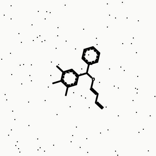 C=CC=COC(c1ccccc1)c1cc(C)c(C)c(C)c1